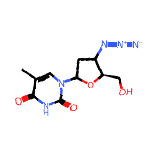 Cc1cn(C2CC(N=[N+]=[N-])[C@@H](CO)O2)c(=O)[nH]c1=O